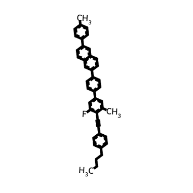 CCCCc1ccc(C#Cc2c(C)cc(-c3ccc(-c4ccc5cc(-c6ccc(C)cc6)ccc5c4)cc3)cc2F)cc1